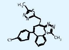 Cc1nnc(C[C@@H]2C=C(c3ccc(Cl)cc3)c3ccccc3-n3c(C)nnc32)s1